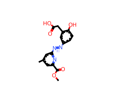 COC(=O)c1cc(C)cc(/N=N/c2ccc(O)c(CC(=O)O)c2)n1